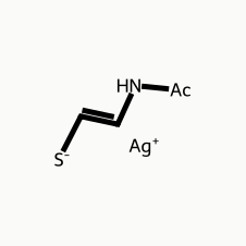 CC(=O)N/C=C/[S-].[Ag+]